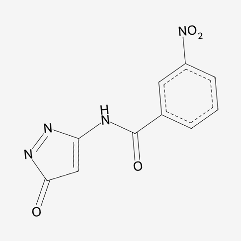 O=C1C=C(NC(=O)c2cccc([N+](=O)[O-])c2)N=N1